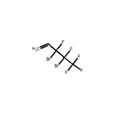 C=CC(F)(Br)C(F)(Br)C(F)(F)F